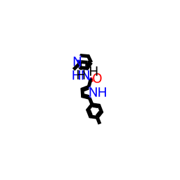 Cc1ccc(-c2ccc(C(=O)N[C@@H]3C4CCN(CC4)[C@H]3C)[nH]2)cc1